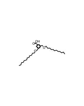 CCCCCCCCCCCCOCc1cc(COCCCCCCCCCCCC)cc(C(=O)O)c1